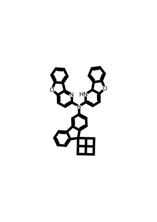 C1=C2Oc3ccccc3C2NC(N(c2ccc3c(c2)-c2ccccc2C32C3CC4CC5CC2C453)c2ccc3oc4ccccc4c3n2)=C1